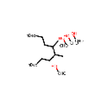 CCCCCCCCCCCCC(C)C(C)CCCCCCCCCCCC.O=CO.O=CO.O=CO.O=CO